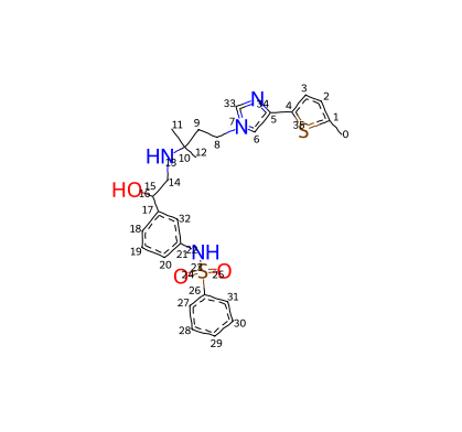 Cc1ccc(-c2cn(CCC(C)(C)NCC(O)c3cccc(NS(=O)(=O)c4ccccc4)c3)cn2)s1